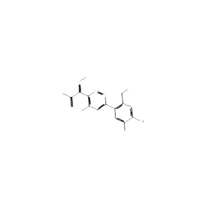 C=C(C)/C(=N/C)c1nnc(-c2cc(F)c(N)cc2CC(F)(F)F)cc1C